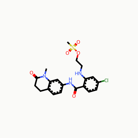 CN1C(=O)CCc2ccc(NC(=O)c3ccc(Cl)cc3NCCOS(C)(=O)=O)cc21